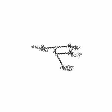 CCCCCCCCC(CCCCCC)C(=O)OCCCCCCCCCN(CCCCCCCCCOC(=O)C(CCCCCC)CCCCCCCC)CCN(C)CCN(CCCCCCCCCOC(=O)C(CCCCCC)CCCCCCCC)CCCCCCCCCOC(=O)C(CCCCCC)CCCCCCCC